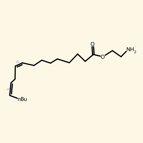 CCCC/C=C\C/C=C\CCCCCCCC(=O)OCCN